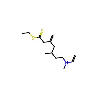 C=CN(C)CCC(C)CC(=C)CC(=S)SCC